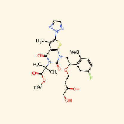 CCCCOC(=O)C(C)(C)n1c(=O)c2c(C)c(-n3nccn3)sc2n(C[C@H](OCCC(O)CO)c2cc(F)ccc2OC)c1=O